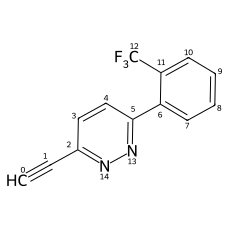 C#Cc1ccc(-c2ccccc2C(F)(F)F)nn1